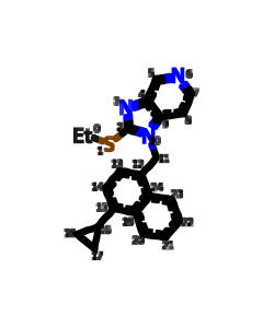 CCSc1nc2cnccc2n1Cc1ccc(C2CC2)c2ccccc12